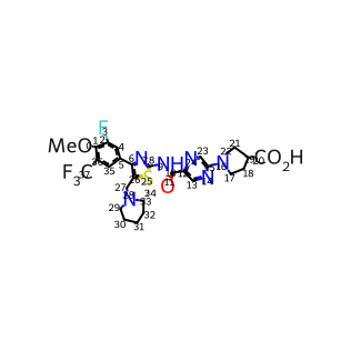 COc1c(F)cc(-c2nc(NC(=O)c3cnc(N4CCC(C(=O)O)CC4)cn3)sc2CN2CCCC[C@H]2C)cc1C(F)(F)F